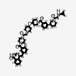 O=C(CN1CCC(OC2CCN(C(=O)c3cccc([C@H]4CCCN(C(=O)CNC5CC5)C4)c3)CC2)CC1)N1CCN(C(=O)c2cc(Cc3n[nH]c(=O)c4ccccc34)ccc2F)CC1